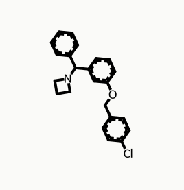 Clc1ccc(COc2cccc(C(c3ccccc3)N3CCC3)c2)cc1